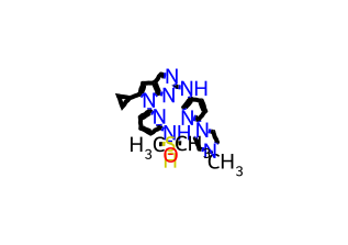 CN1CCN(c2ccc(Nc3ncc4cc(C5CC5)n(-c5cccc(N[SH](C)(C)=O)n5)c4n3)cn2)CC1